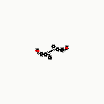 O=C(/C=C/C(=O)ON(c1ccccc1)c1ccc(-c2ccc(OC3CN4CCC3CC4)cc2)cc1)ON(c1ccccc1)c1ccc(-c2ccc(OC3CN4CCC3CC4)cc2)cc1